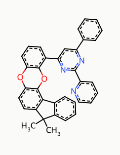 CC1(C)c2ccccc2-c2c1ccc1c2Oc2c(cccc2-c2cc(-c3ccccc3)nc(-c3ccccn3)n2)O1